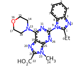 CCc1nc2ccccc2n1-c1nc(N2CCOCC2)c2nc(C(=O)O)n(C)c2n1